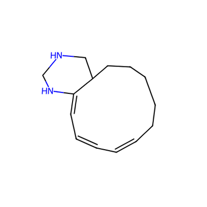 C1=CC=C2NCNCC2CCCCCC=C1